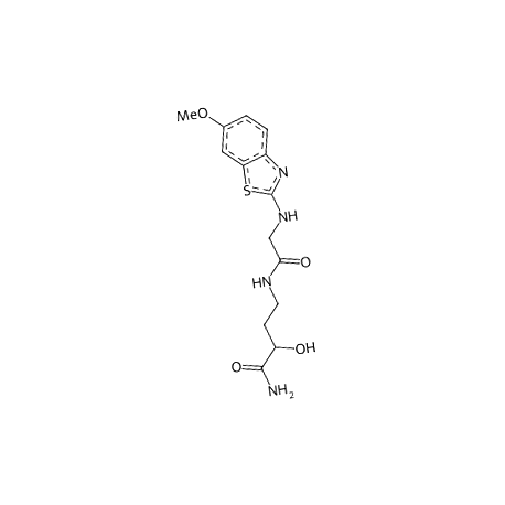 COc1ccc2nc(NCC(=O)NCCC(O)C(N)=O)sc2c1